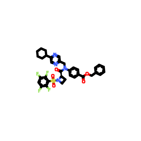 O=C(OCc1ccccc1)c1ccc(N(Cc2cnc(C3CCCCC3)cn2)C(=O)[C@H]2CCN2S(=O)(=O)c2c(F)c(F)cc(F)c2F)cc1